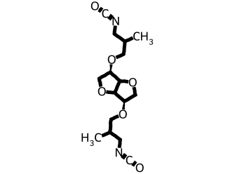 CC(CN=C=O)CO[C@@H]1COC2C1OC[C@H]2OCC(C)CN=C=O